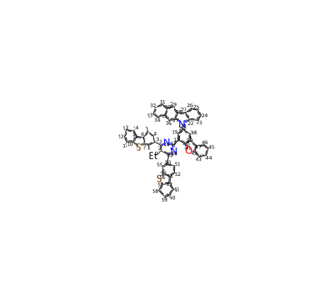 CCc1c(-c2ccc3c(c2)sc2ccccc23)nc(-c2cc(-n3c4ccccc4c4cc5ccccc5cc43)cc3c2oc2ccccc23)nc1-c1ccc2c(c1)sc1ccccc12